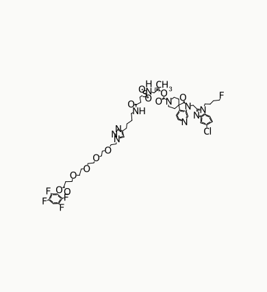 C[C@H](CNS(=O)(=O)CCC(=O)NCCCCc1cn(CCOCCOCCOCCOCCC(=O)Oc2c(F)c(F)cc(F)c2F)nn1)OC(=O)N1CCC2(CC1)C(=O)N(Cc1nc3cc(Cl)ccc3n1CCCCF)c1cnccc12